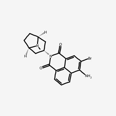 CN1[C@@H]2CC[C@H]1C[C@H](N1C(=O)c3cccc4c(N)c(Br)cc(c34)C1=O)C2